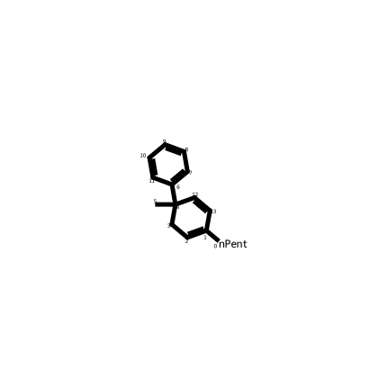 CCCCCC1=CCC(C)(c2ccccc2)C=C1